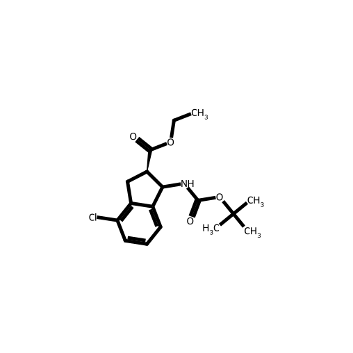 CCOC(=O)[C@@H]1Cc2c(Cl)cccc2C1NC(=O)OC(C)(C)C